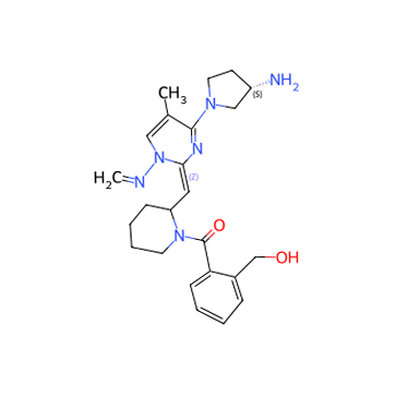 C=NN1C=C(C)C(N2CC[C@H](N)C2)=N/C1=C/C1CCCCN1C(=O)c1ccccc1CO